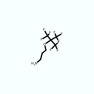 NCCCOC(C(F)(F)F)(C(F)(F)F)C(F)(F)F